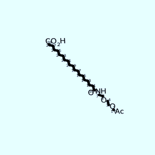 CC(=O)COCCOCCNC(=O)CCCCCCCCCCCCCCCCCCC(=O)O